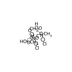 COc1ccc2c(c1)c(CC(=O)O)c(C)n2C(=O)c1ccc(Cl)cc1.Cc1cc(CC(=O)O)c(C)n1-c1ccc(Cl)cc1